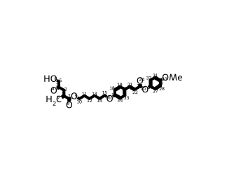 C=C(CC(=O)CO)C(=O)OCCCCCCOc1ccc(/C=C/C(=O)Oc2ccc(OC)cc2)cc1